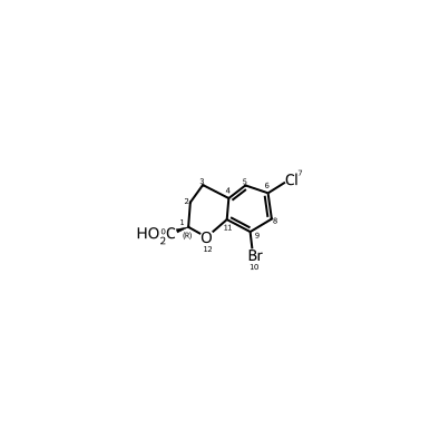 O=C(O)[C@H]1CCc2cc(Cl)cc(Br)c2O1